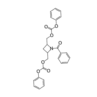 O=C(OCC1CC(COC(=O)Oc2ccccc2)N1C(=O)c1ccccc1)Oc1ccccc1